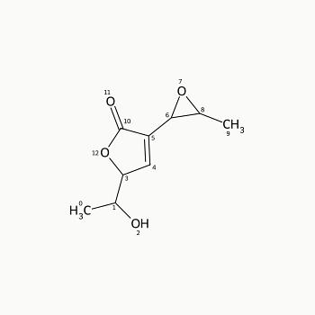 CC(O)C1C=C(C2OC2C)C(=O)O1